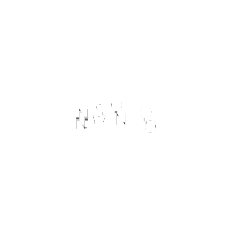 CCOC(=O)[C@H]1CCCN(C(=O)c2cc3c(C)nn(C4CCCCC4)c3s2)C1